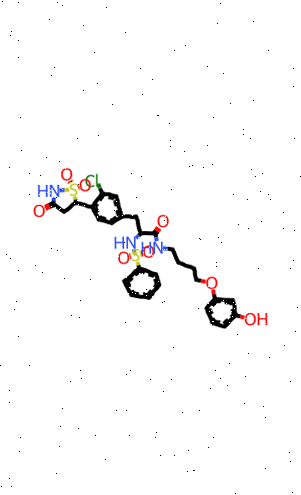 O=C1CC(c2ccc(CC(NS(=O)(=O)c3ccccc3)C(=O)NCCCCOc3cccc(O)c3)cc2Cl)S(=O)(=O)N1